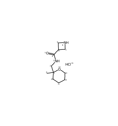 CC1(CNC(=O)C2CNC2)CCCCO1.Cl